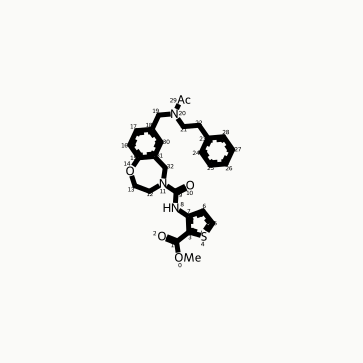 COC(=O)c1sccc1NC(=O)N1CCOc2ccc(CN(CCc3ccccc3)C(C)=O)cc2C1